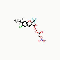 CC(C)(C)c1cc2c(cc1Cl)C=C(C(=O)OCOC(=O)CO[N+](=O)[O-])C(C(F)(F)F)O2